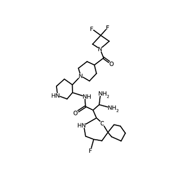 NC(N)C(C(=O)NC1CNCCC1N1CCC(C(=O)N2CC(F)(F)C2)CC1)C1CC2(CCCCC2)CC(F)CN1